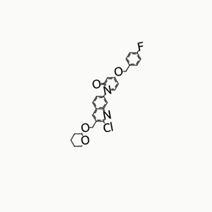 O=c1cc(OCc2ccc(F)cc2)ccn1-c1ccc2cc(COC3CCCCO3)c(Cl)nc2c1